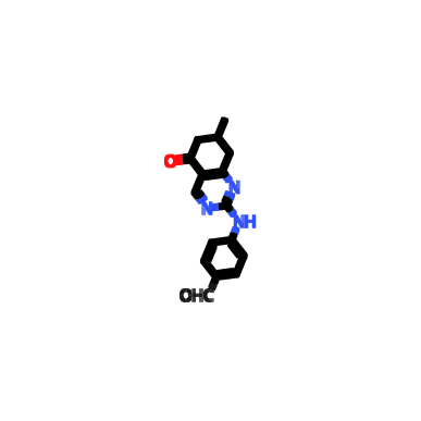 CC1CC(=O)c2cnc(Nc3ccc(C=O)cc3)nc2C1